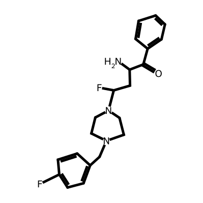 NC(CC(F)N1CCN(Cc2ccc(F)cc2)CC1)C(=O)c1ccccc1